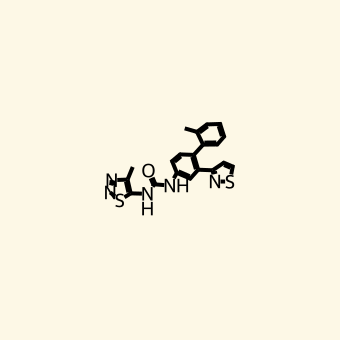 Cc1ccccc1-c1ccc(NC(=O)Nc2snnc2C)cc1-c1ccsn1